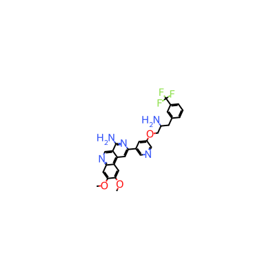 COc1cc2ncc3c(N)nc(-c4cncc(OC[C@@H](N)Cc5cccc(C(F)(F)F)c5)c4)cc3c2cc1OC